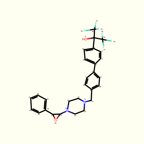 OC(c1ccc(-c2ccc(CN3CCN(C4OC4c4ccccc4)CC3)cc2)cc1)(C(F)(F)F)C(F)(F)F